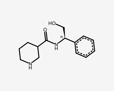 O=C(N[C@@H](CO)c1ccccc1)C1CCCNC1